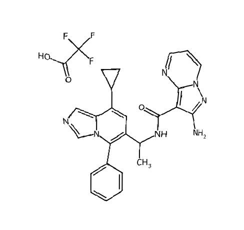 CC(NC(=O)c1c(N)nn2cccnc12)c1cc(C2CC2)c2cncn2c1-c1ccccc1.O=C(O)C(F)(F)F